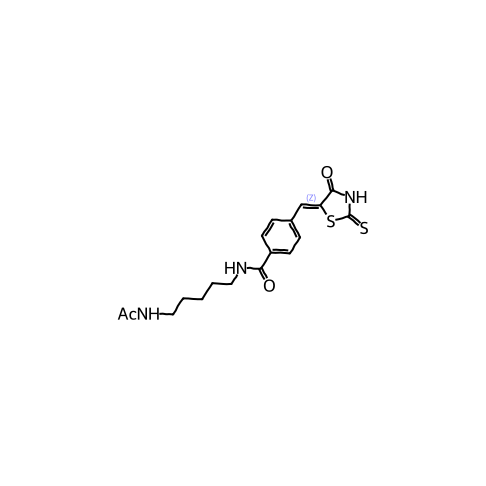 CC(=O)NCCCCCNC(=O)c1ccc(/C=C2\SC(=S)NC2=O)cc1